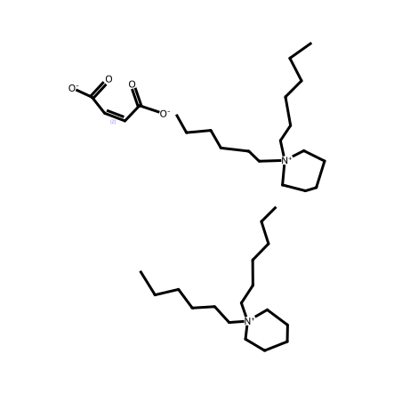 CCCCCC[N+]1(CCCCCC)CCCCC1.CCCCCC[N+]1(CCCCCC)CCCCC1.O=C([O-])/C=C\C(=O)[O-]